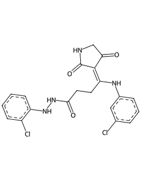 O=C(CCC(Nc1cccc(Cl)c1)=C1C(=O)CNC1=O)NNc1ccccc1Cl